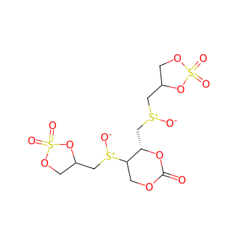 O=C1OCC([S+]([O-])CC2COS(=O)(=O)O2)[C@H](C[S+]([O-])CC2COS(=O)(=O)O2)O1